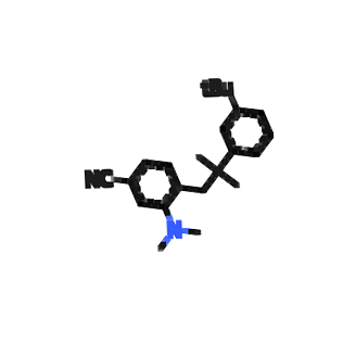 CN(C)c1cc(C#N)ccc1CC(C)(C)c1cccc(C(C)(C)C)c1